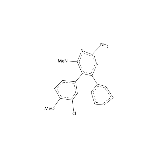 CNc1nc(N)nc(-c2ccccc2)c1-c1ccc(OC)c(Cl)c1